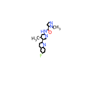 Cc1cc(NC(=O)c2ccnn2C)ncc1-c1ccc2cc(F)ccc2n1